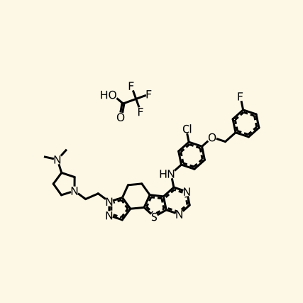 CN(C)C1CCN(CCn2ncc3c2CCc2c-3sc3ncnc(Nc4ccc(OCc5cccc(F)c5)c(Cl)c4)c23)C1.O=C(O)C(F)(F)F